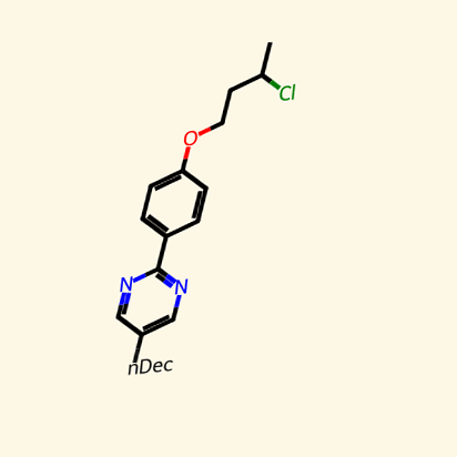 CCCCCCCCCCc1cnc(-c2ccc(OCCC(C)Cl)cc2)nc1